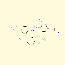 NCc1ccc(S(N)(=O)=O)cc1.Nc1ccc(N=Nc2ccc(S(N)(=O)=O)cc2)c(N)c1